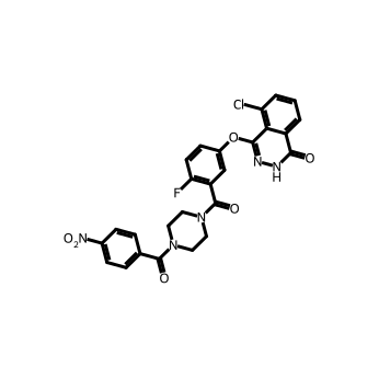 O=C(c1ccc([N+](=O)[O-])cc1)N1CCN(C(=O)c2cc(Oc3n[nH]c(=O)c4cccc(Cl)c34)ccc2F)CC1